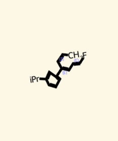 C\C=C/C(=C\C=C\F)c1cccc(C(C)C)c1